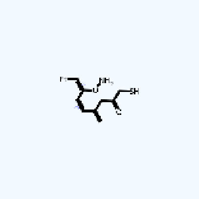 C=C(/C=C\C(=C/CC)ON)CC(=O)CS